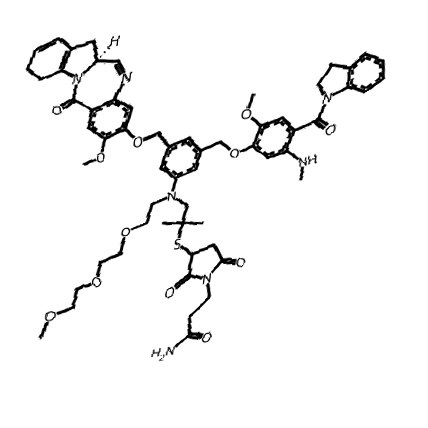 CNc1cc(OCc2cc(COc3cc4c(cc3OC)C(=O)N3C5=C(C=CCC5)C[C@H]3C=N4)cc(N(CCOCCOCCOC)CC(C)(C)SC3CC(=O)N(CCC(N)=O)C3=O)c2)c(OC)cc1C(=O)N1CCc2ccccc21